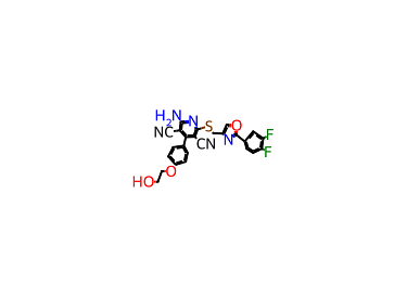 N#Cc1c(N)nc(SCc2coc(-c3ccc(F)c(F)c3)n2)c(C#N)c1-c1ccc(OCCO)cc1